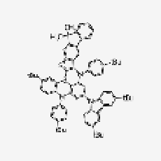 CC(C)(C)c1ccc(N2c3ccc(C(C)(C)C)cc3B3c4sc5cc6c(cc5c4N(c4ccc(C(C)(C)C)cc4)c4cc(-n5c7ccc(C(C)(C)C)cc7c7cc(C(C)(C)C)ccc75)cc2c43)-c2ccccc2C6(C)C)cc1